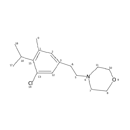 Cc1cc(CCN2CCOCC2)cc(Cl)c1C(C)C